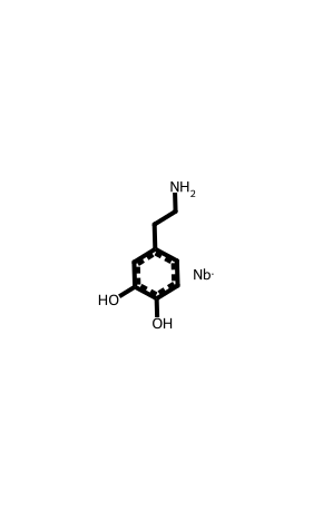 NCCc1ccc(O)c(O)c1.[Nb]